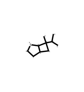 CC(C)C1(C)CC2CCSC21